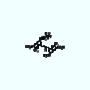 O=C(O)C(F)(F)F.O=C(O)C1=Cc2cc(OC(F)(F)F)cc(CCNCc3cc(OC(F)(F)F)cc4c3OC(C(F)(F)F)C(C(=O)O)=C4)c2OC1C(F)(F)F